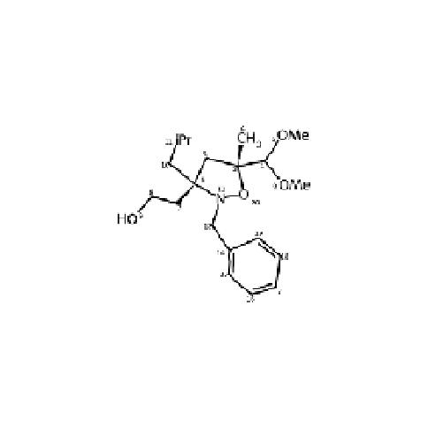 COC(OC)[C@@]1(C)C[C@@](CCO)(CC(C)C)N(Cc2ccccc2)O1